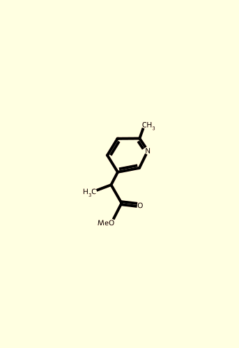 COC(=O)C(C)c1ccc(C)nc1